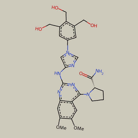 COc1cc2nc(Nc3cn(-c4cc(CO)c(CO)c(CO)c4)cn3)nc(N3CCC[C@H]3C(N)=O)c2cc1OC